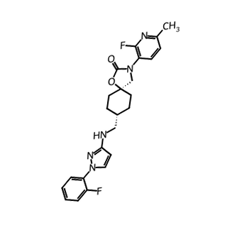 Cc1ccc(N2C[C@]3(CC[C@@H](CNc4ccn(-c5ccccc5F)n4)CC3)OC2=O)c(F)n1